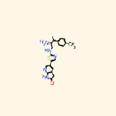 C[C@@H](c1ccc(C(F)(F)F)cc1)[C@@H](N)CNc1ncc(-c2cnc3c(c2)CC(=O)N3)s1